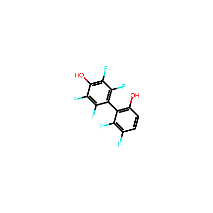 Oc1ccc(F)c(F)c1-c1c(F)c(F)c(O)c(F)c1F